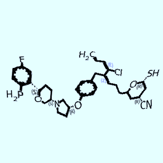 C=C/C=C(Cl)\C(=C/CCC1C[C@@H](C#N)C[C@@H](S)O1)Cc1ccc(O[C@@H]2CCN([C@H]3CC[C@@H](c4cc(F)ccc4P)OC3)C2)cc1